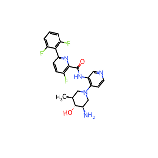 C[C@H]1CN(c2ccncc2NC(=O)c2nc(-c3c(F)cccc3F)ccc2F)C[C@@H](N)[C@@H]1O